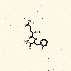 NC(=O)CC[C@H](N)C(=O)NC(Cc1ccccc1F)C(=O)O